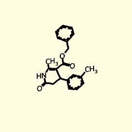 CC1=C(C(=O)OCc2ccccc2)C(c2cccc(C)c2)CC(=O)N1